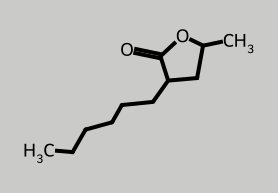 CCCCCCC1CC(C)OC1=O